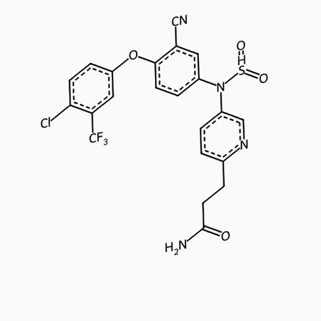 N#Cc1cc(N(c2ccc(CCC(N)=O)nc2)[SH](=O)=O)ccc1Oc1ccc(Cl)c(C(F)(F)F)c1